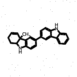 CC12C=CCCC1Nc1ccc(-c3ccc4[nH]c5ccccc5c4c3)cc12